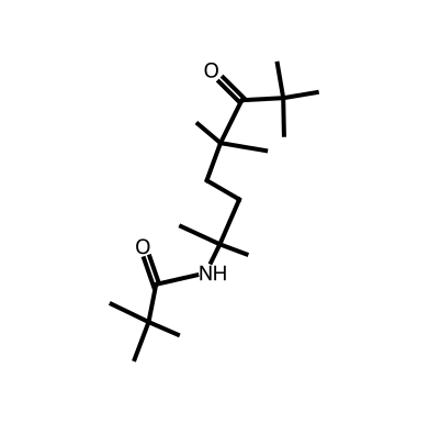 CC(C)(CCC(C)(C)C(=O)C(C)(C)C)NC(=O)C(C)(C)C